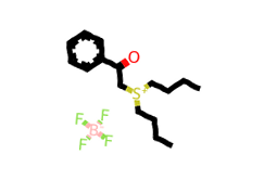 CCCC[S+](CCCC)CC(=O)c1ccccc1.F[B-](F)(F)F